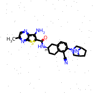 Cc1cnc2c(N)c(C(=O)N[C@@H]3CCc4c(ccc(N5CC6CCC(C5)N6)c4C#N)C3)sc2n1